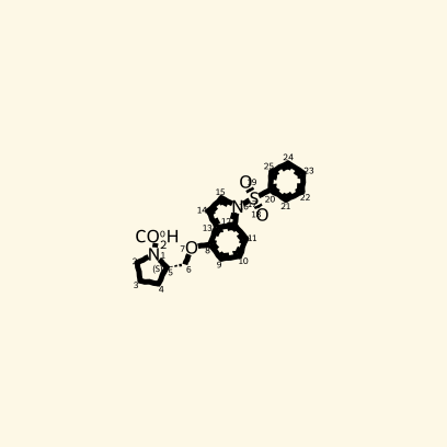 O=C(O)N1CCC[C@H]1COc1cccc2c1ccn2S(=O)(=O)c1ccccc1